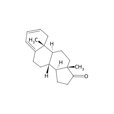 C[C@]12CC=CC=C1CC[C@@H]1[C@@H]2CC[C@]2(C)C(=O)CC[C@@H]12